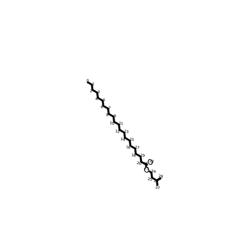 CCCCCCCCCCCCCCCCCCCCCC(=O)OCCC(C)C